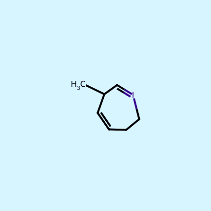 CC1C=CCCI=C1